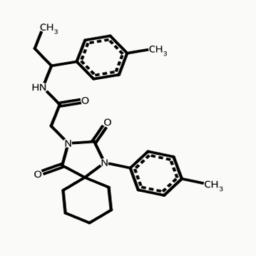 CCC(NC(=O)CN1C(=O)N(c2ccc(C)cc2)C2(CCCCC2)C1=O)c1ccc(C)cc1